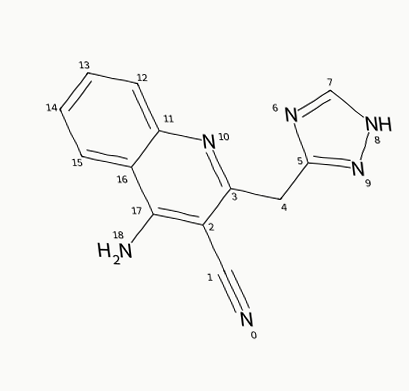 N#Cc1c(Cc2nc[nH]n2)nc2ccccc2c1N